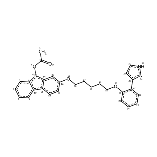 CC(=O)On1c2ccccc2c2ccc(OCCCCCOc3ccccc3-c3cc[nH]n3)cc21